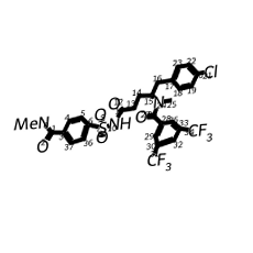 CNC(=O)c1ccc(S(=O)(=O)NC(=O)CCC(Cc2ccc(Cl)cc2)N(C)C(=O)c2cc(C(F)(F)F)cc(C(F)(F)F)c2)cc1